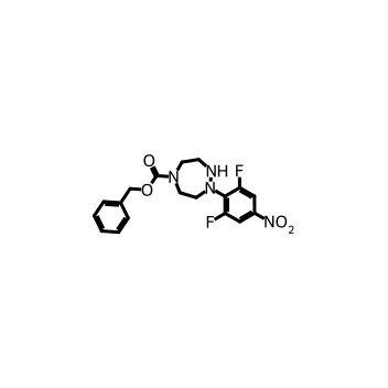 O=C(OCc1ccccc1)N1CCNN(c2c(F)cc([N+](=O)[O-])cc2F)CC1